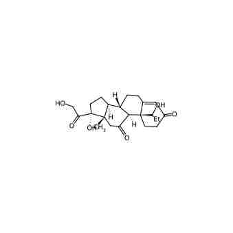 CCC(O)[C@]12CCC(=O)C=C1CC[C@@H]1[C@@H]2C(=O)C[C@@]2(C)[C@H]1CC[C@]2(O)C(=O)CO